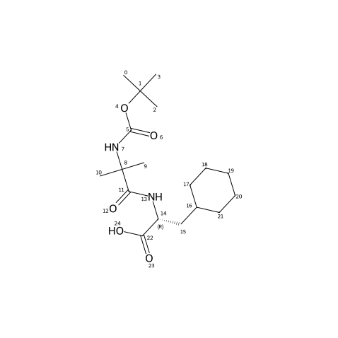 CC(C)(C)OC(=O)NC(C)(C)C(=O)N[C@H](CC1CCCCC1)C(=O)O